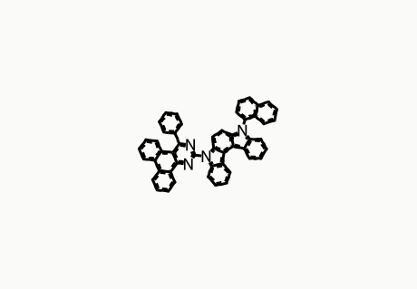 c1ccc(-c2nc(-n3c4ccccc4c4c5c6ccccc6n(-c6cccc7ccccc67)c5ccc43)nc3c4ccccc4c4ccccc4c23)cc1